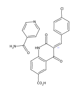 NC(=O)c1ccncc1.O=C1Nc2ccc(C(=O)O)cc2C(=O)/C1=C/c1ccc(Cl)cc1